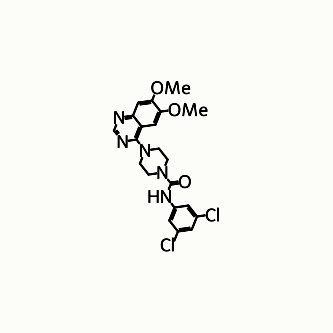 COc1cc2ncnc(N3CCN(C(=O)Nc4cc(Cl)cc(Cl)c4)CC3)c2cc1OC